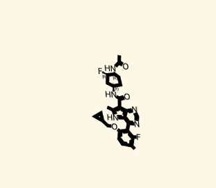 CC(=O)N[C@@H]1CC[C@@H](NC(=O)c2c(C)[nH]c3c(-c4c(OCC5CC5)ccc(C)c4F)ncnc23)C[C@H]1F